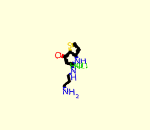 Cl.Cl.NCCCNc1cc(=O)c2sccc2[nH]1